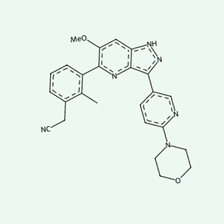 COc1cc2[nH]nc(-c3ccc(N4CCOCC4)nc3)c2nc1-c1cccc(CC#N)c1C